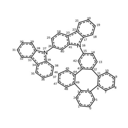 c1ccc2c(c1)-c1ccccc1-c1ccc(-n3c4ccccc4c4ccc(-n5c6ccccc6c6ccccc65)cc43)cc1-c1ccccc1-2